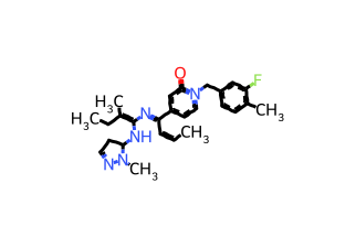 C\C=C/C(=N\C(NC1CC=NN1C)=C(/C)CC)c1ccn(Cc2ccc(C)c(F)c2)c(=O)c1